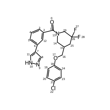 O=C(c1cccc(-c2cn[nH]c2)c1)N1CC(COc2ccc(Cl)cc2)CC(F)(F)C1